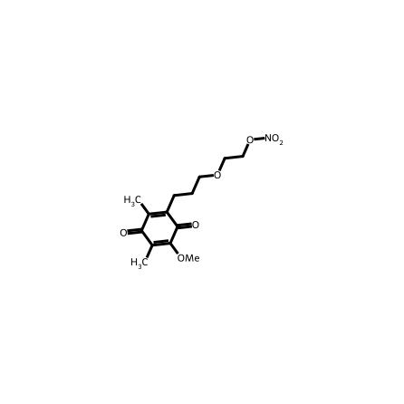 COC1=C(C)C(=O)C(C)=C(CCCOCCO[N+](=O)[O-])C1=O